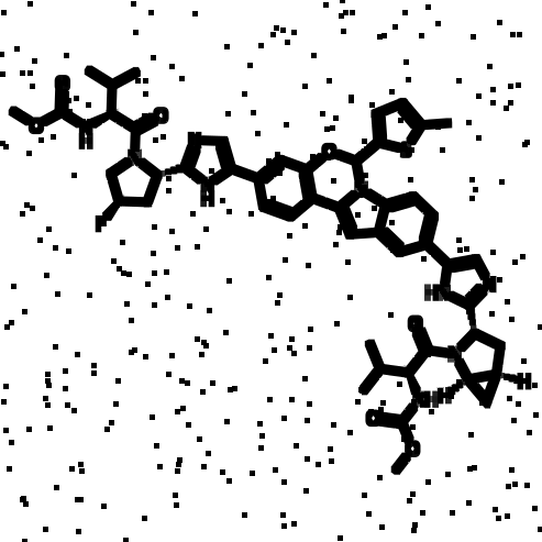 COC(=O)N[C@H](C(=O)N1C[C@H](F)C[C@H]1c1ncc(-c2ccc3c(c2)OC(c2ccc(C)s2)n2c-3cc3cc(-c4cnc([C@@H]5C[C@H]6C[C@H]6N5C(=O)[C@@H](NC(=O)OC)C(C)C)[nH]4)ccc32)[nH]1)C(C)C